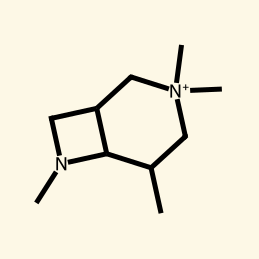 CC1C[N+](C)(C)CC2CN(C)C12